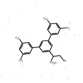 CC(C)CC(C(=O)O)c1cc(-c2cc(C(F)(F)F)cc(C(F)(F)F)c2)cc(-c2cc(C(F)(F)F)cc(C(F)(F)F)c2)c1